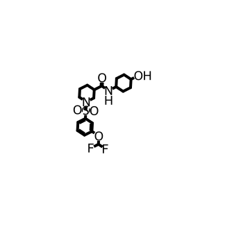 O=C(NC1CCC(O)CC1)C1CCCN(S(=O)(=O)c2cccc(OC(F)F)c2)C1